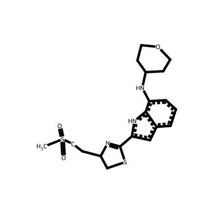 CS(=O)(=O)CCC1CSC(c2cc3cccc(NC4CCOCC4)c3[nH]2)=N1